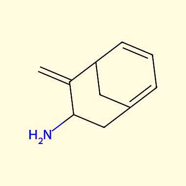 C=C1C(N)CC2=CC=CC1C2